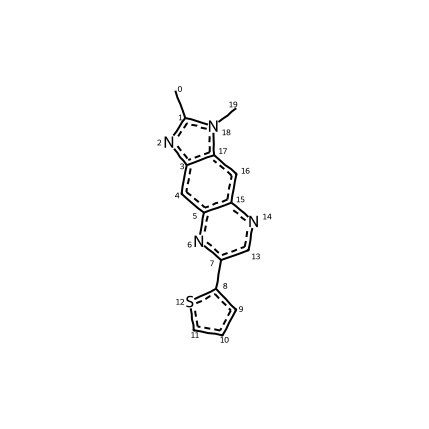 Cc1nc2cc3nc(-c4cccs4)cnc3cc2n1C